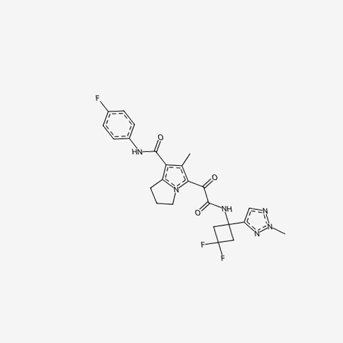 Cc1c(C(=O)Nc2ccc(F)cc2)c2n(c1C(=O)C(=O)NC1(c3cnn(C)n3)CC(F)(F)C1)CCC2